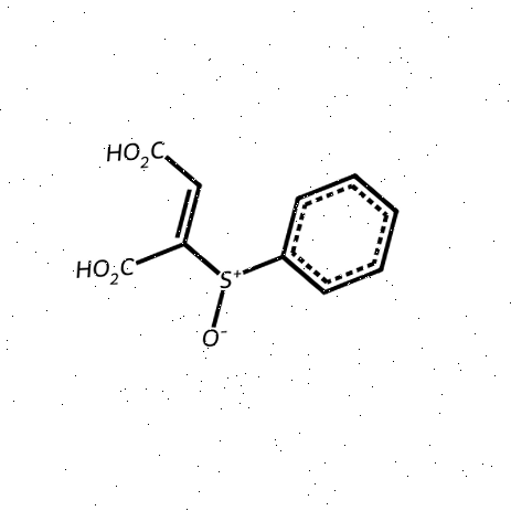 O=C(O)C=C(C(=O)O)[S+]([O-])c1ccccc1